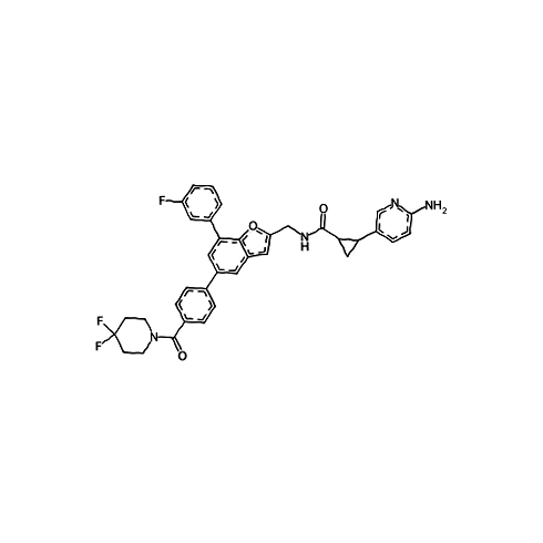 Nc1ccc(C2CC2C(=O)NCc2cc3cc(-c4ccc(C(=O)N5CCC(F)(F)CC5)cc4)cc(-c4cccc(F)c4)c3o2)cn1